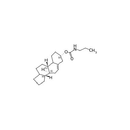 CCCNC(=O)O[C@H]1CCC2C(=CC[C@H]3[C@@H]4CCCC4CC[C@H]23)C1